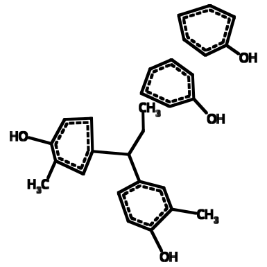 CCC(c1ccc(O)c(C)c1)c1ccc(O)c(C)c1.Oc1ccccc1.Oc1ccccc1